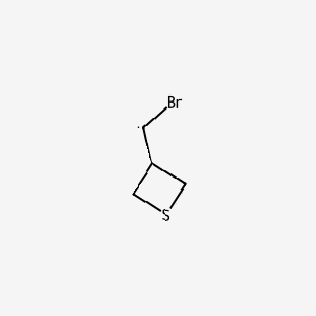 Br[CH]C1CSC1